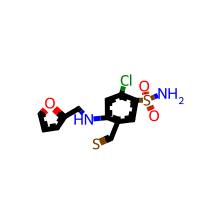 NS(=O)(=O)c1cc(C=S)c(NCc2ccco2)cc1Cl